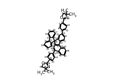 CC1(C)COC(c2ccc(-c3ccc4c(c3)C3(c5ccccc5-c5ccccc53)c3cc(-c5ccc(C6=NC(C)(C)CO6)cc5)c5ccccc5c3-4)cc2)=N1